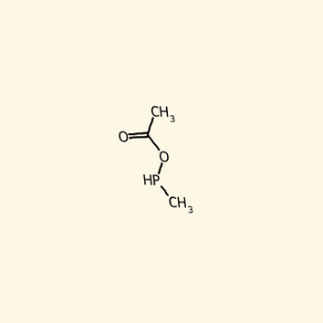 CPOC(C)=O